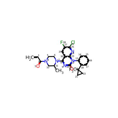 C=CC(=O)N1CCN(c2nc(=O)n(-c3ccccc3C3(C(F)(F)F)CC3)c3nc(Cl)c(F)cc23)C(C)C1